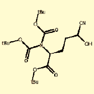 CC(C)(C)OC(=O)[C@H](CCC(O)C#N)N(C(=O)OC(C)(C)C)C(=O)OC(C)(C)C